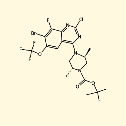 C[C@@H]1CN(c2nc(Cl)nc3c(F)c(Br)c(OC(F)(F)F)cc23)[C@@H](C)CN1C(=O)OC(C)(C)C